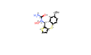 CC(C)(C)c1ccc(Sc2ccsc2CN(O)C(N)=O)cc1